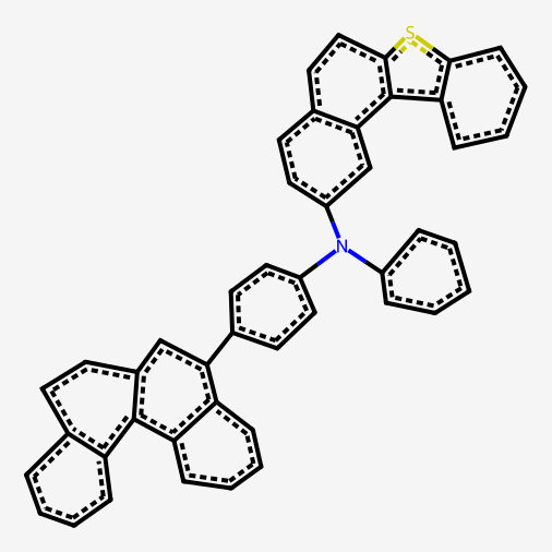 c1ccc(N(c2ccc(-c3cc4ccc5ccccc5c4c4ccccc34)cc2)c2ccc3ccc4sc5ccccc5c4c3c2)cc1